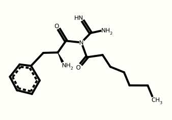 CCCCCCC(=O)N(C(=N)N)C(=O)[C@@H](N)Cc1ccccc1